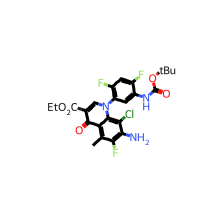 CCOC(=O)c1cn(-c2cc(NC(=O)OC(C)(C)C)c(F)cc2F)c2c(Cl)c(N)c(F)c(C)c2c1=O